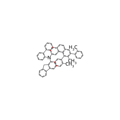 Cc1ccccc1-c1cc2ccc3ccc(N(c4ccccc4-c4ccccc4)c4cccc5c4Cc4ccccc4-5)cc3c2c(-c2ccccc2C)c1C